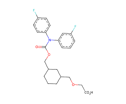 O=C(O)COCC1CCCC(COC(=O)N(c2ccc(F)cc2)c2cccc(F)c2)C1